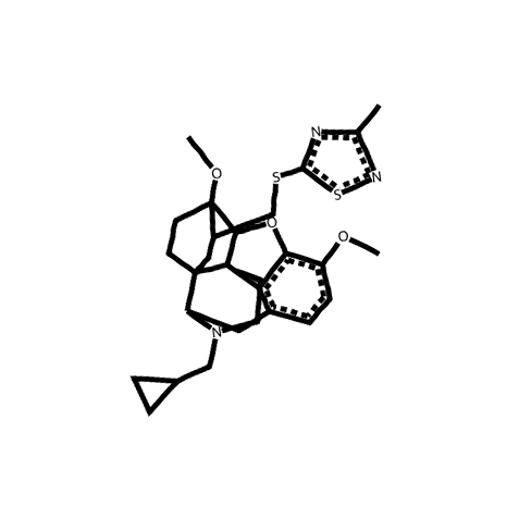 COc1ccc2c3c1OC1C4(OC)CCC5(CC4CSc4nc(C)ns4)C(C2)N(CC2CC2)CC[C@]315